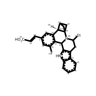 CCC1Cc2c([nH]c3ccccc23)C2c3c(F)cc(/C=C/C(=O)O)cc3[C@H]3C4CC3(C4)N12